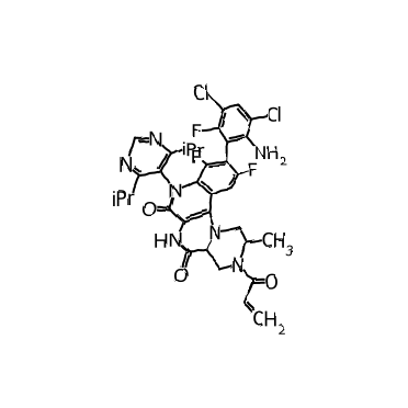 C=CC(=O)N1CC2C(=O)Nc3c(c4cc(F)c(-c5c(N)c(Cl)cc(Cl)c5F)c(F)c4n(-c4c(C(C)C)ncnc4C(C)C)c3=O)N2CC1C